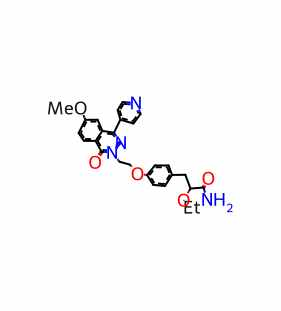 CCOC(Cc1ccc(OCCn2nc(-c3ccncc3)c3cc(OC)ccc3c2=O)cc1)C(N)=O